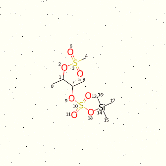 CC(OS(C)(=O)=O)C(C)OS(=O)(=O)O[Si](C)(C)C